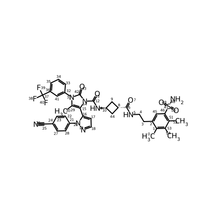 Cc1c(CCNC(=O)[C@H]2C[C@H](NC(=O)n3c(-c4ccnn4-c4ccc(C#N)cc4)c(C)n(-c4cccc(C(F)(F)F)c4)c3=O)C2)cc(S(N)(=O)=O)c(C)c1C